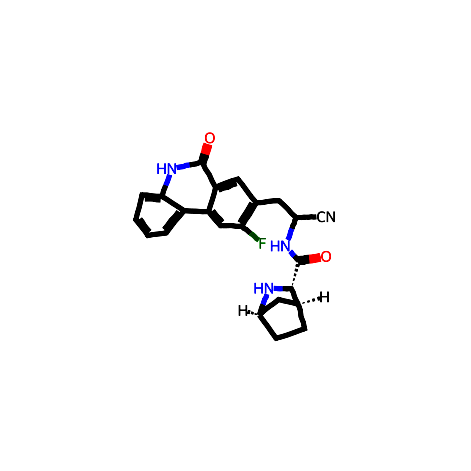 N#CC(Cc1cc2c(=O)[nH]c3ccccc3c2cc1F)NC(=O)[C@H]1N[C@@H]2CC[C@H]1C2